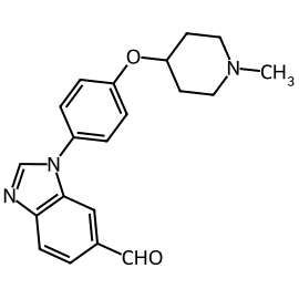 CN1CCC(Oc2ccc(-n3cnc4ccc(C=O)cc43)cc2)CC1